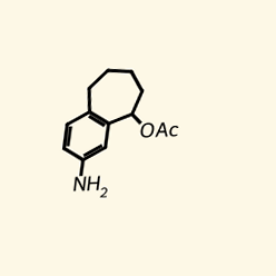 CC(=O)OC1CCCCc2ccc(N)cc21